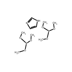 COB(OC)OC.COB(OC)OC.c1c[nH]cn1